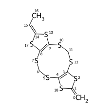 C=C1SC2=C(SCSC3=C(SCS2)SC(=CC)S3)S1